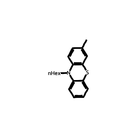 CCCCCCN1c2ccccc2Sc2cc(C)ccc21